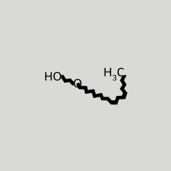 CCCCC/C=C\C/C=C\CCCCCCCCOCCCCO